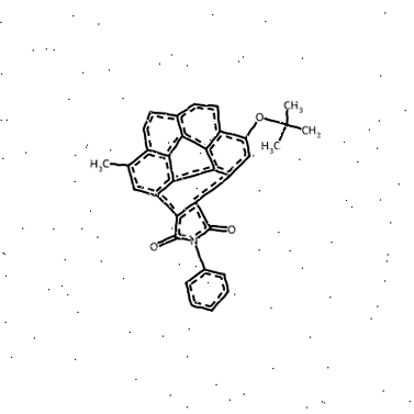 Cc1cc2c3c(=O)n(-c4ccccc4)c(=O)c3c3cc(OC(C)(C)C)c4ccc5ccc1c1c5c4c3c21